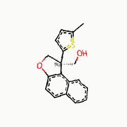 Cc1ccc([C@]2(CO)COc3ccc4ccccc4c32)s1